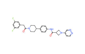 O=C(Nc1ccc(C2CCN(C(=O)Cc3cc(F)cc(F)c3)CC2)cc1)C1CN(c2ccnnc2)C1